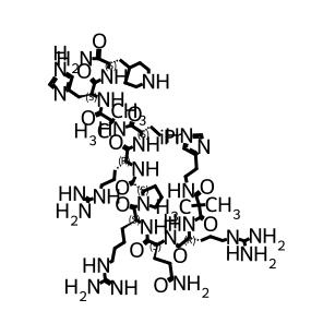 CC(C)C[C@H](NC(=O)[C@@H](CCCNC(=N)N)NC(=O)[C@@H]1CCCN1C(=O)[C@H](CCCCNC(=N)N)NC(=O)[C@H](CCC(N)=O)NC(=O)[C@@H](CCCNC(N)N)NC(=O)C(C)(C)C(=O)NCCc1c[nH]cn1)C(=O)NC(C)(C)C(=O)N[C@@H](Cc1c[nH]cn1)C(=O)N[C@@H](CC1CCNCC1)C(N)=O